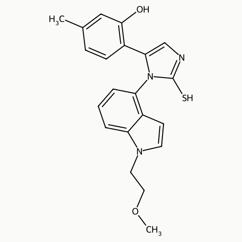 COCCn1ccc2c(-n3c(-c4ccc(C)cc4O)cnc3S)cccc21